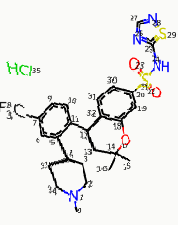 CN1CCC(c2cc(C(F)(F)F)ccc2C2CC(C)(C)Oc3cc(S(=O)(=O)Nc4ncns4)ccc32)CC1.Cl